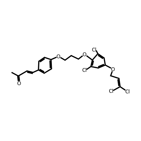 CC(=O)C=Cc1ccc(OCCCOc2c(Cl)cc(OCC=C(Cl)Cl)cc2Cl)cc1